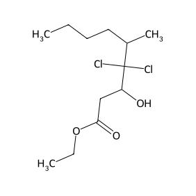 CCCCC(C)C(Cl)(Cl)C(O)CC(=O)OCC